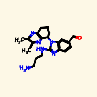 Cc1nc2c(nc1C)C(n1c(NCCCN)nc3ccc(C=O)cc31)CCC2